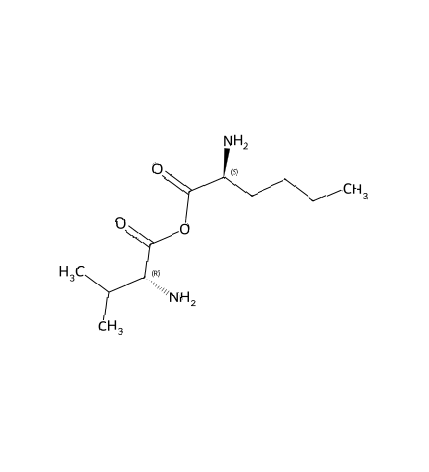 CCCC[C@H](N)C(=O)OC(=O)[C@H](N)C(C)C